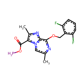 Cc1cn2c(C(=O)OP)c(C)nc2c(OCc2c(F)cccc2F)n1